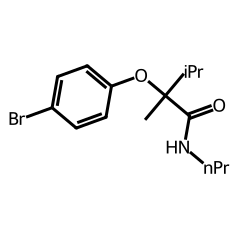 CCCNC(=O)C(C)(Oc1ccc(Br)cc1)C(C)C